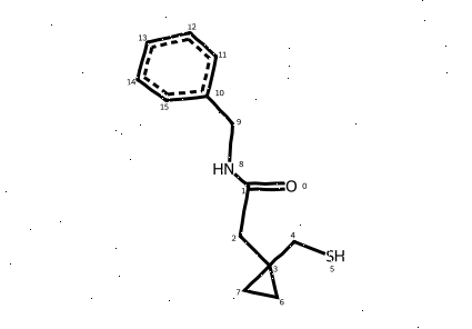 O=C(CC1(CS)CC1)NCc1ccccc1